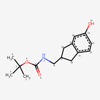 CC(C)(C)OC(=O)NCC1Cc2ccc(O)cc2C1